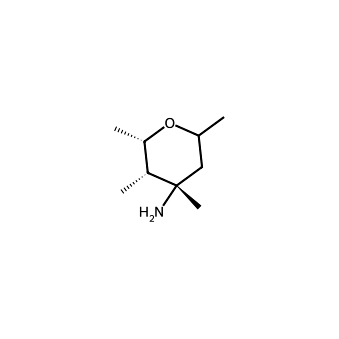 CC1C[C@](C)(N)[C@H](C)[C@H](C)O1